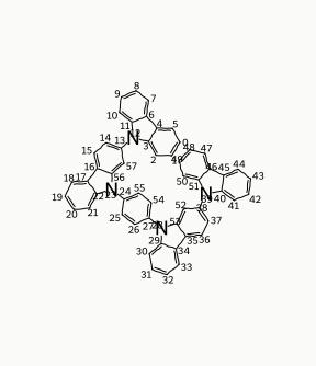 c1ccc2c(c1)c1ccccc1n2-c1ccc2c3ccccc3n(-c3ccc(-n4c5ccccc5c5ccc(-n6c7ccccc7c7ccccc76)cc54)cc3)c2c1